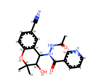 CC(=O)NN(C(=O)c1cccnc1)C1c2cc(C#N)ccc2OC(C)(C)C1O